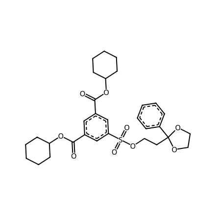 O=C(OC1CCCCC1)c1cc(C(=O)OC2CCCCC2)cc(S(=O)(=O)OCCC2(c3ccccc3)OCCO2)c1